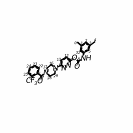 Cc1cc(C)cc(NC(=O)Oc2ccc(N3CCN(C(=O)c4ccccc4C(F)(F)F)CC3)nn2)c1